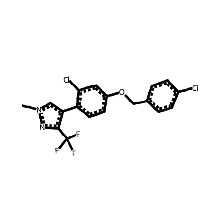 Cn1cc(-c2ccc(OCc3ccc(Cl)cc3)cc2Cl)c(C(F)(F)F)n1